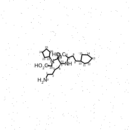 NCCCC[C@H](NC(CCC1CCCCC1)C(=O)O)C(=O)N(CC(=O)O)C1CCCC1